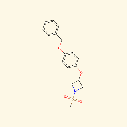 CS(=O)(=O)N1CC(Oc2ccc(OCc3ccccc3)cc2)C1